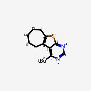 CC(C)(C)c1ncnc2sc3c(c12)CCCCC3